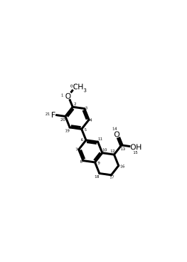 COc1ccc(-c2ccc3c(c2)C(C(=O)O)CCC3)cc1F